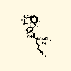 CCCCC[C@@H](/C=C/[C@@H]1[C@@H](Cc2cccc(C)c2)[C@@H](CCO)C[C@H]1C)OP(P)P